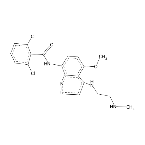 CNCCNc1ccnc2c(NC(=O)c3c(Cl)cccc3Cl)ccc(OC)c12